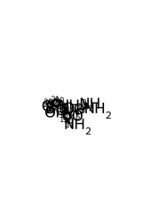 N=C(N)COC(=O)Cc1cc(N)ccc1S(=O)(=O)Nc1ccc2c(c1)B(O)OC2